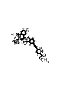 COC(=O)c1ccc(C#Cc2ccc3c(c2)C(=O)N(C(C(=O)Nc2nccs2)c2cc(F)ccc2OC)C3)cn1